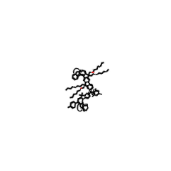 CCCCCCCCC1(CCCCCCCC)c2cc(N(c3ccc4c(c3)C(C)(C)c3cc(-c5ccc(C)cc5)c5oc6ccccc6c5c3-4)c3c(C)cc(C)cc3C)ccc2-c2cc3c(cc21)-c1c(ccc2oc4ccccc4c12)C3(CCCCCCCC)CCCCCCCC